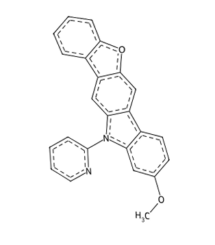 COc1ccc2c3cc4oc5ccccc5c4cc3n(-c3ccccn3)c2c1